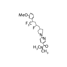 COc1cccc(C(CC(F)CC2CCN(c3ccc(C(=O)N(C)C)cn3)CC2)C(F)(F)F)c1